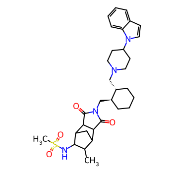 CC1C2CC(C1NS(C)(=O)=O)C1C(=O)N(C[C@@H]3CCCC[C@H]3CN3CCC(n4ccc5ccccc54)CC3)C(=O)C21